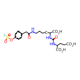 O=C(O)CCC(NC(=O)NC(CCCCNC(=O)Cc1ccc(OS(=O)(=O)F)cc1)C(=O)O)C(=O)O